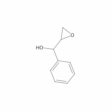 OC(c1ccccc1)C1CO1